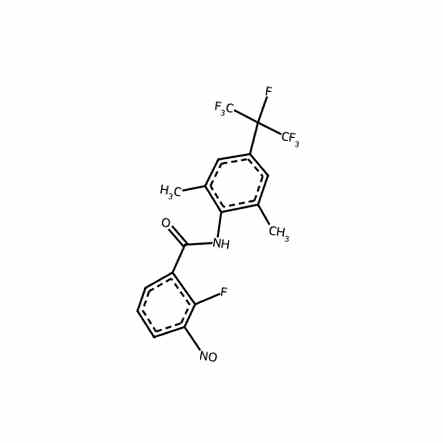 Cc1cc(C(F)(C(F)(F)F)C(F)(F)F)cc(C)c1NC(=O)c1cccc(N=O)c1F